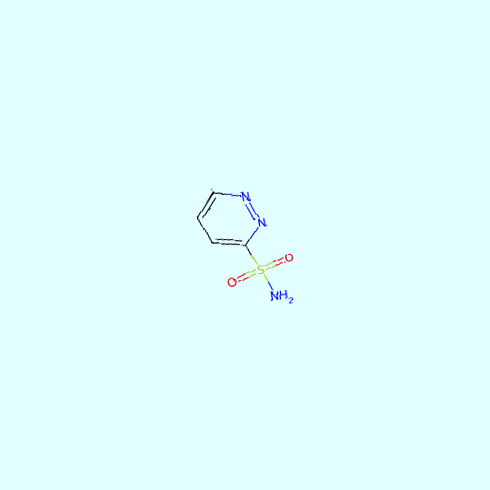 NS(=O)(=O)c1cc[c]nn1